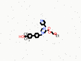 CCOCCOC(=O)[C@@H]1CN(Cc2ccc(-c3ccc(C(O)(C(F)(F)F)C(F)(F)F)cc3)cc2)CCN1Cc1ccncc1